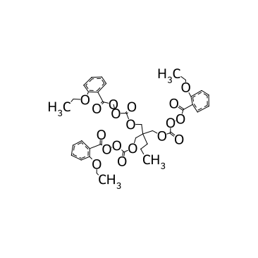 CCCC(COC(=O)OOC(=O)c1ccccc1OCC)(COC(=O)OOC(=O)c1ccccc1OCC)COC(=O)OOC(=O)c1ccccc1OCC